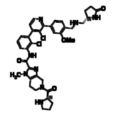 COc1cc(-c2nccc(-c3cccc(NC(=O)c4nc5c(n4C)CCN(C(=O)[C@H]4CCCN4)C5)c3Cl)c2Cl)ccc1CNC[C@@H]1CCC(=O)N1